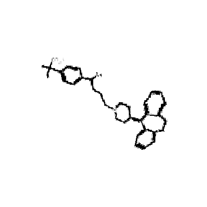 CC(C)(C(=O)O)c1ccc(C(O)CCCN2CCC(=C3c4ccccc4CCc4ccccc43)CC2)cc1